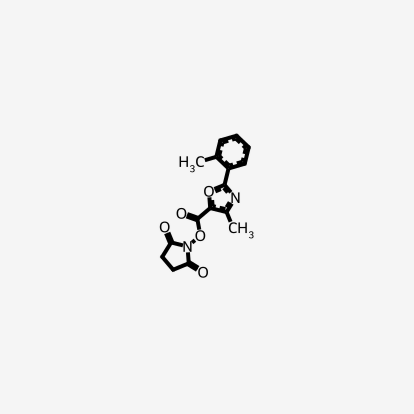 Cc1ccccc1-c1nc(C)c(C(=O)ON2C(=O)CCC2=O)o1